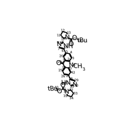 Cn1c2ccc(-c3cnc([C@@H]4CCCN4C(=O)OC(C)(C)C)[nH]3)cc2c(=O)c2ccc(-c3cnc([C@@H]4CCCN4C(=O)OC(C)(C)C)[nH]3)cc21